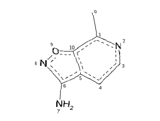 Cc1nccc2c(N)noc12